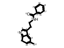 O=C(NCCC1=CN=C2CC=C(I)C=C12)c1ccccc1